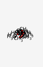 CCNS(=O)(=O)c1c2c(cc3c(-c4ccccc4C(=O)O)c4cc(C(C)CC(C)C)c(=N)c(S(=O)(=O)O)c-4oc13)C(C)CC(C)(C)N2